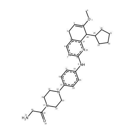 COC1=CCc2cnc(Nc3ccc(N4CCN(C(=O)CN)CC4)cc3)nc2C1C1CCCC1